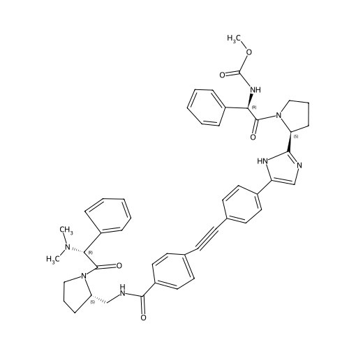 COC(=O)N[C@@H](C(=O)N1CCC[C@H]1c1ncc(-c2ccc(C#Cc3ccc(C(=O)NC[C@@H]4CCCN4C(=O)[C@@H](c4ccccc4)N(C)C)cc3)cc2)[nH]1)c1ccccc1